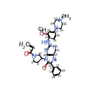 C=CC(=O)N1CCC(n2c(=O)c(-c3ccccc3)nc3cnc(Nc4ccc(N5CCN(C)CC5)cc4OC)nc32)C1